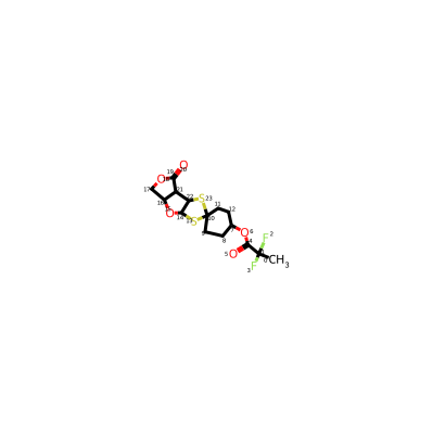 CC(F)(F)C(=O)OC1CCC2(CC1)SC1OC3COC(=O)C3C1S2